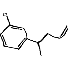 C=CC[C](C)c1cccc(Cl)c1